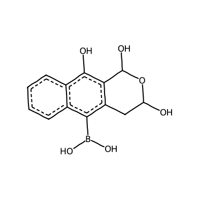 OB(O)c1c2c(c(O)c3ccccc13)C(O)OC(O)C2